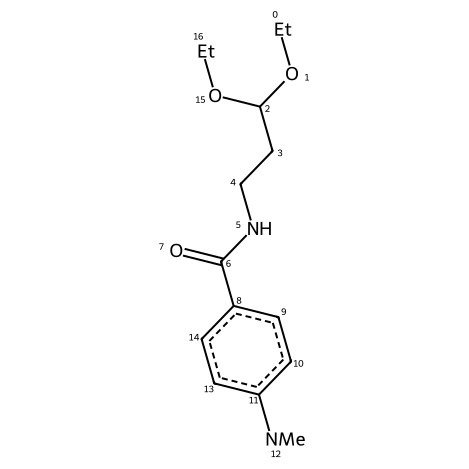 CCOC(CCNC(=O)c1ccc(NC)cc1)OCC